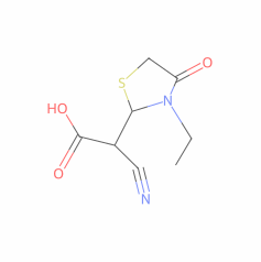 CCN1C(=O)CSC1C(C#N)C(=O)O